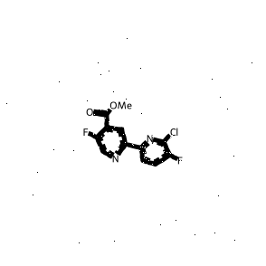 COC(=O)c1cc(-c2ccc(F)c(Cl)n2)ncc1F